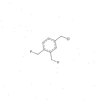 FCc1ccc(CCl)cc1CF